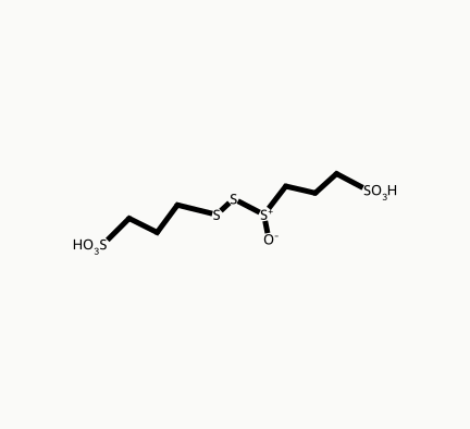 O=S(=O)(O)CCCSS[S+]([O-])CCCS(=O)(=O)O